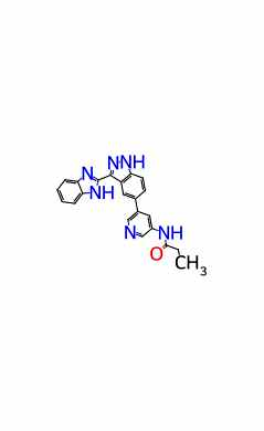 CCC(=O)Nc1cncc(-c2ccc3[nH]nc(-c4nc5ccccc5[nH]4)c3c2)c1